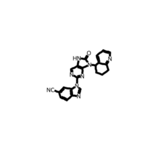 N#Cc1ccc2ncn(-c3ncc4[nH]c(=O)n(C5CCCc6ncccc65)c4n3)c2c1